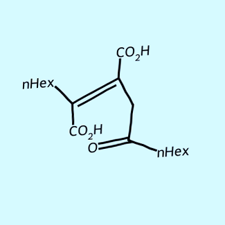 CCCCCCC(=O)CC(C(=O)O)=C(CCCCCC)C(=O)O